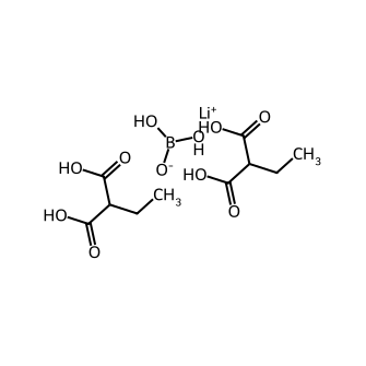 CCC(C(=O)O)C(=O)O.CCC(C(=O)O)C(=O)O.[Li+].[O-]B(O)O